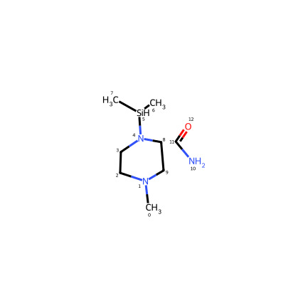 CN1CCN([SiH](C)C)CC1.NC=O